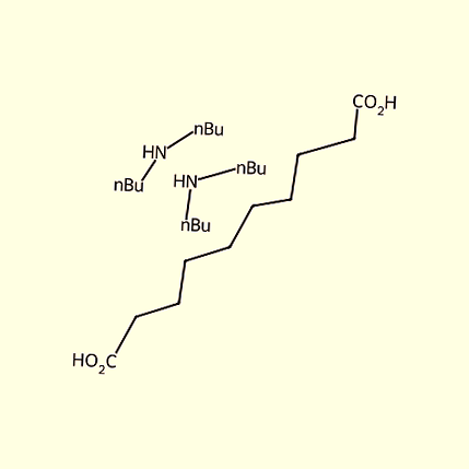 CCCCNCCCC.CCCCNCCCC.O=C(O)CCCCCCCCC(=O)O